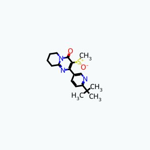 C[S+]([O-])c1c(-c2ccc(C(C)(C)C)nc2)nc2n(c1=O)CCCC2